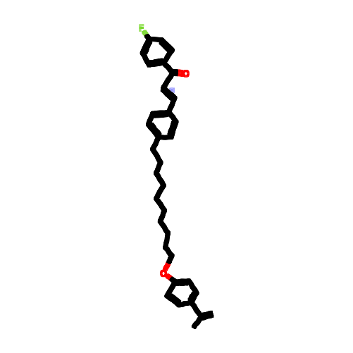 C=C(C)c1ccc(OCCCCCCCCCCc2ccc(/C=C/C(=O)c3ccc(F)cc3)cc2)cc1